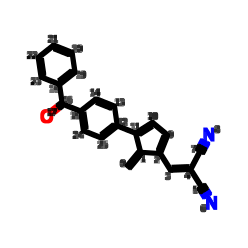 C=C1C(C=C(C#N)C#N)=CC=C1c1ccc(C(=O)c2ccccc2)cc1